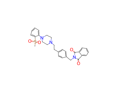 CS(=O)(=O)c1ccccc1N1CCN(CCc2ccc(CN3C(=O)c4ccccc4C3=O)cc2)CC1